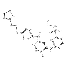 CCNS(=O)(=O)c1cccc(Nc2nc(N(C)c3ccc(OCCN4CCCC4)cc3)ncc2C)c1